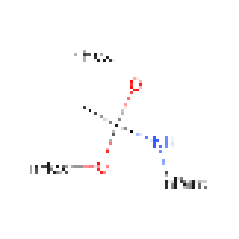 CCCCCCOC(C)(NCCCCC)OCCCCCC